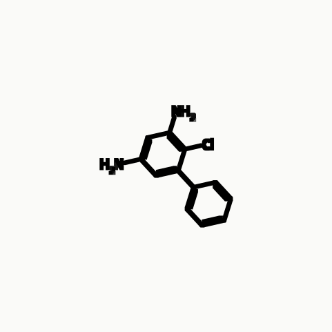 Nc1cc(N)c(Cl)c(-c2ccccc2)c1